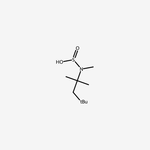 CN(S(=O)O)C(C)(C)CC(C)(C)C